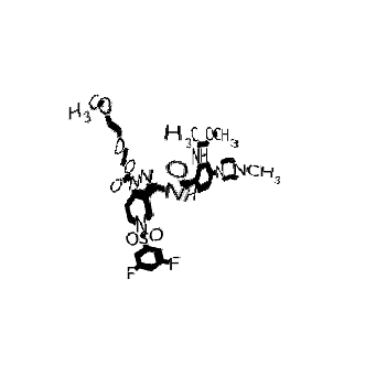 COCCOCCOC(=O)n1nc(NC(=O)c2ccc(N3CCN(C)CC3)cc2NC(C)COC)c2c1CCN(S(=O)(=O)c1cc(F)cc(F)c1)C2